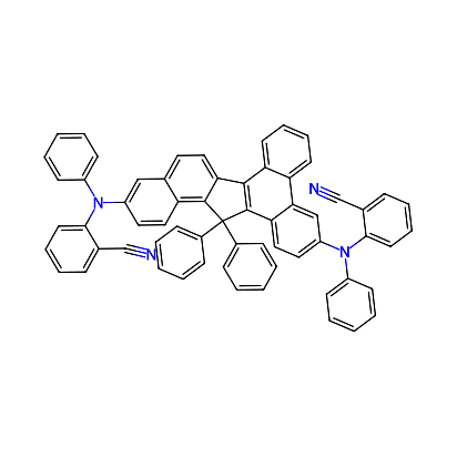 N#Cc1ccccc1N(c1ccccc1)c1ccc2c3c(ccc2c1)-c1c(c2ccc(N(c4ccccc4)c4ccccc4C#N)cc2c2ccccc12)C3(c1ccccc1)c1ccccc1